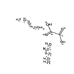 O.O.O.O.O.O.O.O.O.O.O=C(O)C(=O)O